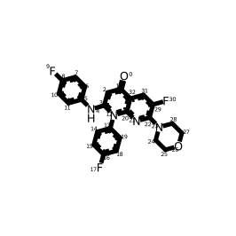 O=c1cc(Nc2ccc(F)cc2)n(-c2ccc(F)cc2)c2nc(N3CCOCC3)c(F)cc12